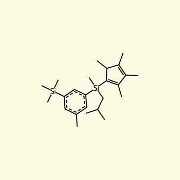 CC1=C(C)C(C)C([Si](C)(CC(C)C)c2cc(C)cc([Si](C)(C)C)c2)=C1C